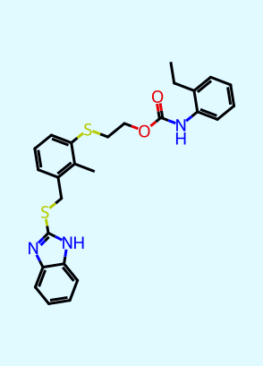 CCc1ccccc1NC(=O)OCCSc1cccc(CSc2nc3ccccc3[nH]2)c1C